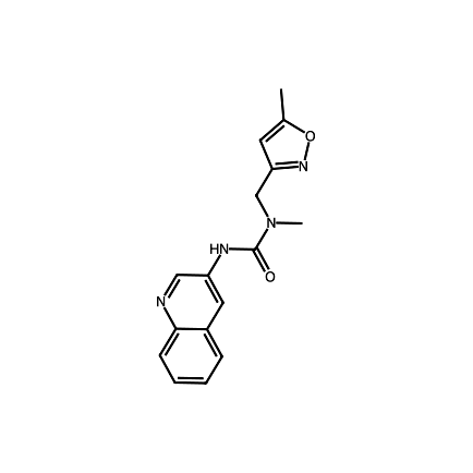 Cc1cc(CN(C)C(=O)Nc2cnc3ccccc3c2)no1